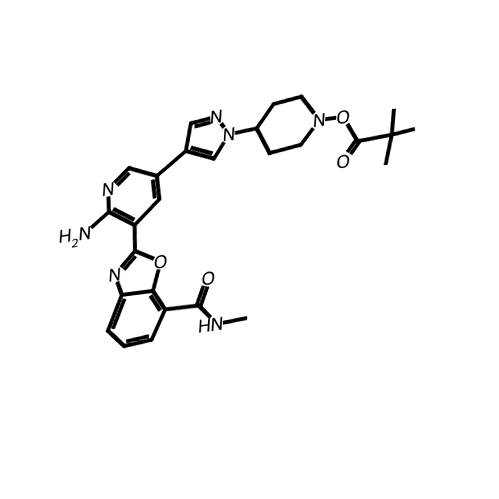 CNC(=O)c1cccc2nc(-c3cc(-c4cnn(C5CCN(OC(=O)C(C)(C)C)CC5)c4)cnc3N)oc12